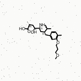 COCCCOc1cc(C[C@@H](C[C@H](N)[C@@H](O)C[C@@H](C)C(=O)O)C(C)C)ccc1C